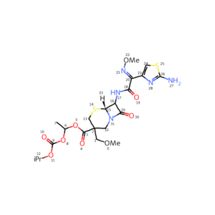 COCC1(C(=O)OC(C)OC(=O)OC(C)C)CS[C@@H]2C(NC(=O)C(=NOC)c3csc(N)n3)C(=O)N2C1